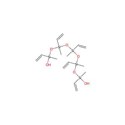 C=C[Si](C)(O)O[Si](C)(C=C)O[Si](C)(C=C)O[Si](C)(C=C)O[Si](C)(O)C=C